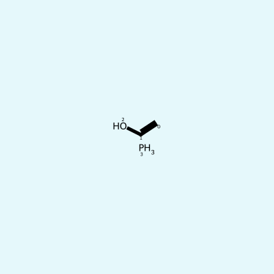 C=CO.P